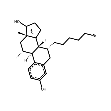 C[C@]12C[C@@H](F)[C@@H]3c4ccc(O)cc4C[C@@H](CCCCCBr)[C@H]3[C@@H]1CCC2O